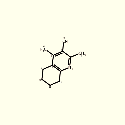 Cc1nc2c(c(C(F)(F)F)c1C#N)CCCC2